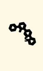 Cc1c(-c2ccccc2)cccc1-c1ccc2c(c1)sc1ccccc12